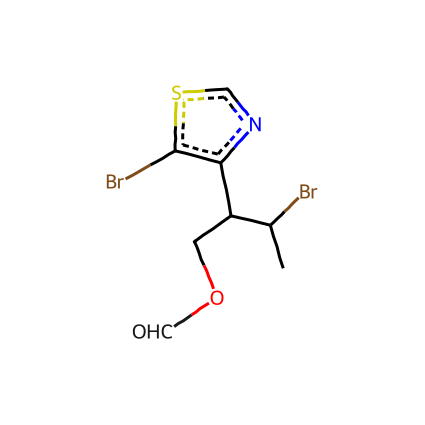 CC(Br)C(COC=O)c1ncsc1Br